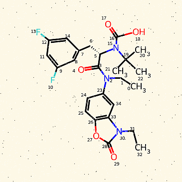 CCN(C(=O)[C@H](Cc1cc(F)cc(F)c1)N(C(=O)O)C(C)(C)C)c1ccc2oc(=O)n(CC)c2c1